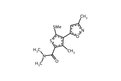 CSc1sc(C(=O)N(C)C)c(C)c1-c1cc(C)no1